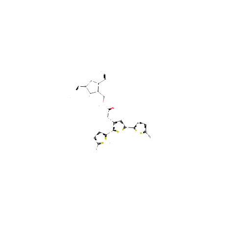 C=CC1CC(C=C)C(COC(=O)Cc2cc(-c3ccc(C)s3)sc2-c2ccc(C)s2)C1